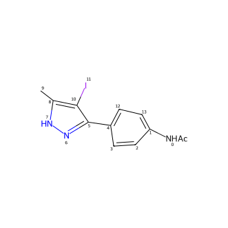 CC(=O)Nc1ccc(-c2n[nH]c(C)c2I)cc1